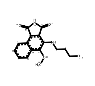 CCCCNc1c2c(c3ccccc3c1OC)C(=O)NC2=O